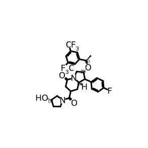 C[C@@H](O[C@H]1CN2C(=O)CC(C(=O)N3CC[C@H](O)C3)C[C@H]2C1c1ccc(F)cc1)c1cc(C(F)(F)F)cc(C(F)(F)F)c1